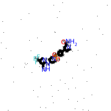 N#Cc1cc(C(F)(F)F)cnc1NC1CCN(S(=O)(=O)c2ccc(-c3ccnc(C(N)=O)c3)cc2)CC1